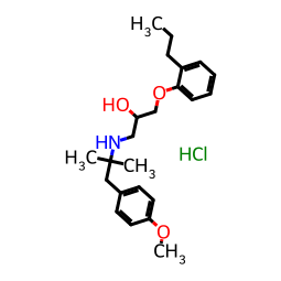 CCCc1ccccc1OCC(O)CNC(C)(C)Cc1ccc(OC)cc1.Cl